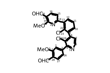 COc1cc(-c2nccc(-c3cccc(-c4ccc(C=O)c(OC)n4)c3Cl)c2Cl)ccc1C=O